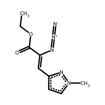 CCOC(=O)C(=Cc1ccn(C)n1)N=[N+]=[N-]